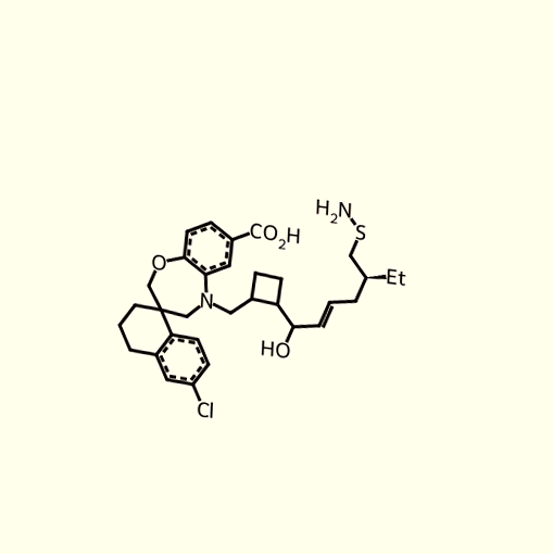 CC[C@@H](C/C=C/C(O)C1CCC1CN1CC2(CCCc3cc(Cl)ccc32)COc2ccc(C(=O)O)cc21)CSN